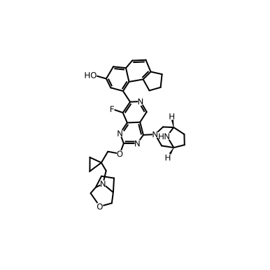 Oc1cc(-c2ncc3c(N4C[C@H]5CC[C@@H](C4)N5)nc(OCC4(CN5C6CCC5COC6)CC4)nc3c2F)c2c3c(ccc2c1)CCC3